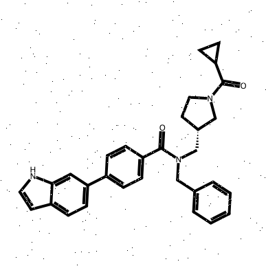 O=C(c1ccc(-c2ccc3cc[nH]c3c2)cc1)N(Cc1ccccc1)C[C@@H]1CCN(C(=O)C2CC2)C1